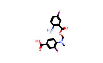 CN(COC(=O)c1cc(I)ccc1N)c1ccc(C(=O)O)cc1I